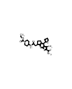 CCOC(=O)N1CCC(NC(=O)CC2CCc3c2nc2sc(C(N)=O)c(N)c2c3-c2cccs2)CC1